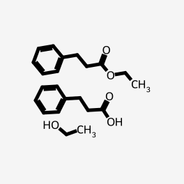 CCO.CCOC(=O)CCc1ccccc1.O=C(O)CCc1ccccc1